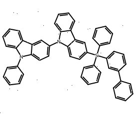 c1ccc(-c2cccc([Si](c3ccccc3)(c3ccccc3)c3ccc4c(c3)c3ccccc3n4-c3ccc4c(c3)c3ccccc3n4-c3ccccc3)c2)cc1